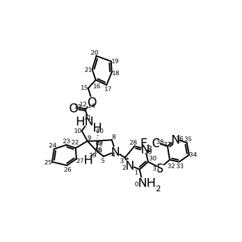 Nc1nc(N2C[C@@H]3[C@H](C2)C3(CNC(=O)OCc2ccccc2)c2ccccc2)cnc1Sc1cccnc1C(F)(F)F